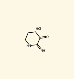 Cl.N=C1NCCCC1=O